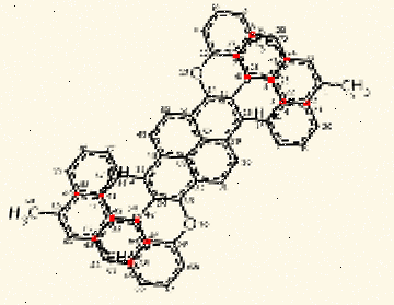 Cc1cc(C)c(B2c3ccccc3Oc3c2c(-c2ccccc2-c2ccccc2)c2ccc4c5c(c(-c6ccccc6-c6ccccc6)c6ccc3c2c46)B(c2c(C)cc(C)cc2C)c2ccccc2O5)c(C)c1